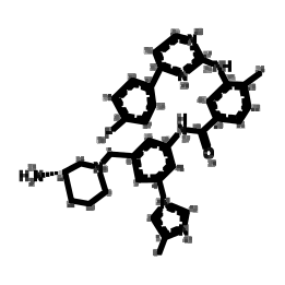 Cc1cn(-c2cc(CN3CCC[C@H](N)C3)cc(NC(=O)c3ccc(C)c(Nc4nccc(-c5ccc(F)cc5)n4)c3)c2)cn1